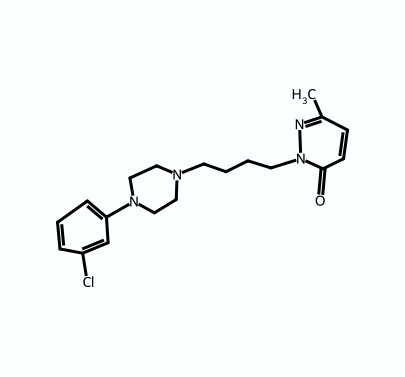 Cc1ccc(=O)n(CCCCN2CCN(c3cccc(Cl)c3)CC2)n1